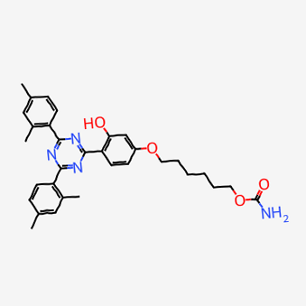 Cc1ccc(-c2nc(-c3ccc(C)cc3C)nc(-c3ccc(OCCCCCCOC(N)=O)cc3O)n2)c(C)c1